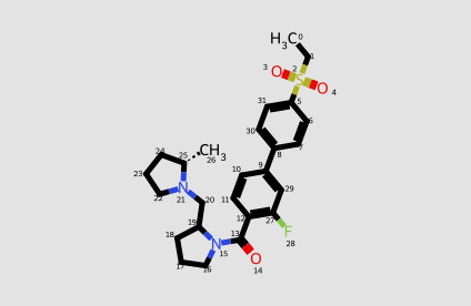 CCS(=O)(=O)c1ccc(-c2ccc(C(=O)N3CCCC3CN3CCC[C@@H]3C)c(F)c2)cc1